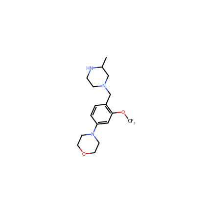 CC1CN(Cc2ccc(N3CCOCC3)cc2OC(F)(F)F)CCN1